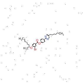 CCCCCCc1cnc(-c2ccc(OC(=O)c3ccc(OC(C)CCCCCC)c(Br)c3)cc2)nc1